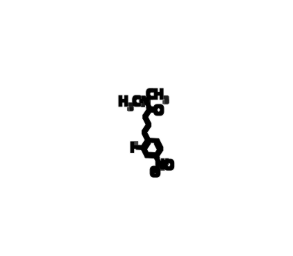 CN(C)C(=O)CCCc1ccc([N+](=O)[O-])cc1F